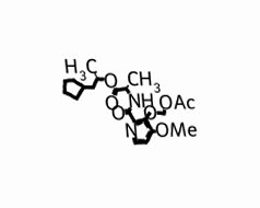 COc1ccnc(C(=O)N[C@@H](C)C(=O)O[C@@H](C)CC2CCCC2)c1OCOC(C)=O